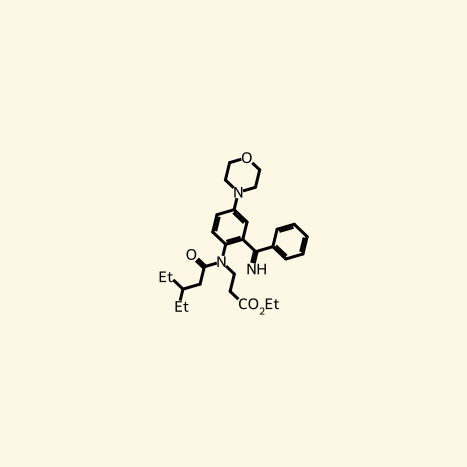 CCOC(=O)CCN(C(=O)CC(CC)CC)c1ccc(N2CCOCC2)cc1C(=N)c1ccccc1